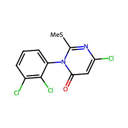 CSc1nc(Cl)cc(=O)n1-c1cccc(Cl)c1Cl